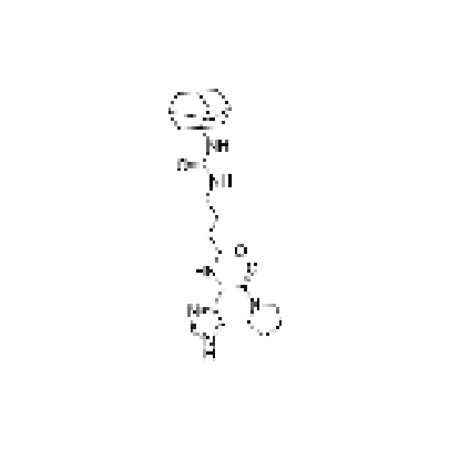 O=C(CCCNC(=O)NC12CC3CC(CC(C3)C1)C2)NC(C(=O)N1CCCC1)c1c[nH]cn1